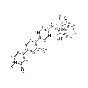 CN(c1cnc(-c2ccc(-c3ccn(C)c(=O)c3)cc2O)cn1)[C@H]1C[C@@H]2CCC[C@@H](N2)[C@H]1F